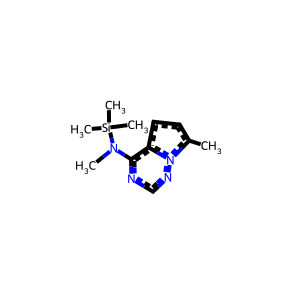 Cc1ccc2c(N(C)[Si](C)(C)C)ncnn12